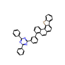 c1ccc(-c2nc(-c3ccccc3)nc(-c3cccc(-c4cccc5c4ccc4ccc6c7ccccc7sc6c45)c3)n2)cc1